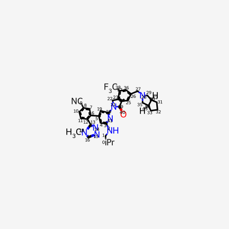 CC(C)CNc1cc(-c2cc(C#N)ccc2-c2nncn2C)cc(N2Cc3c(cc(CN4C[C@H]5CCC[C@H]5C4)cc3C(F)(F)F)C2=O)n1